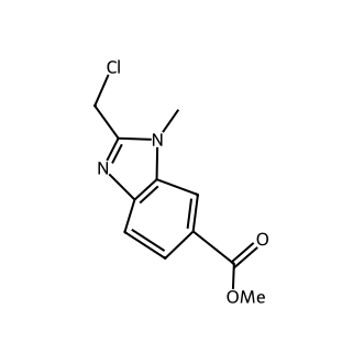 COC(=O)c1ccc2nc(CCl)n(C)c2c1